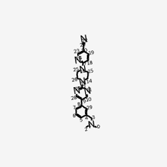 CN(C)Cc1cccc(-c2cnc(N3CCN(c4ccc(C#N)cn4)CC3)nc2)c1